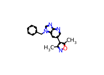 Cc1noc(C)c1-c1cnc2ncn(Cc3ccccc3)c2c1